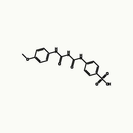 COc1ccc(NC(=O)NC(=O)Nc2ccc(S(=O)(=O)O)cc2)cc1